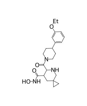 CCOc1cccc(C2CCN(C(=O)C3NCC4(CC4)CC3C(=O)NO)CC2)c1